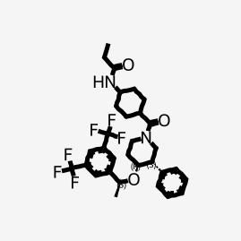 CCC(=O)NC1CCC(C(=O)N2CC[C@@H](O[C@@H](C)c3cc(C(F)(F)F)cc(C(F)(F)F)c3)[C@@H](c3ccccc3)C2)CC1